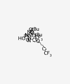 CC(C)(C)OC(=O)/N=C(\NC(=O)OC(C)(C)C)N1CC[C@H](O)[C@H]1c1nc(-c2ccc(OCCCCc3ccc(C(F)(F)F)cc3)c(C(F)(F)F)c2)no1